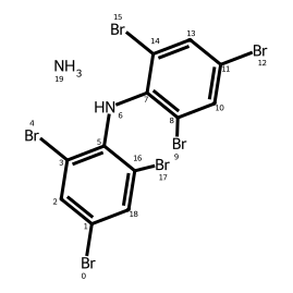 Brc1cc(Br)c(Nc2c(Br)cc(Br)cc2Br)c(Br)c1.N